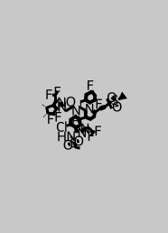 CCS(=O)(=O)Nc1nn(CC(F)F)c2c(-c3ccc(C#CC(C)(C)S(=O)(=O)C4CC4)nc3[C@H](Cc3cc(F)cc(F)c3)NC(=O)Cn3nc(C(F)F)c4c3C(F)(F)[C@H](C)[C@@H]4C)ccc(Cl)c12